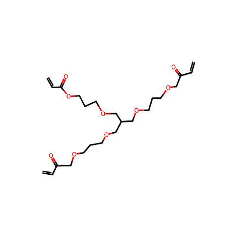 C=CC(=O)COCCCOCC(COCCCOCC(=O)C=C)COCCCOC(=O)C=C